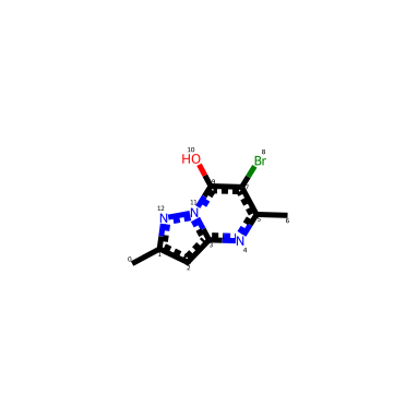 Cc1cc2nc(C)c(Br)c(O)n2n1